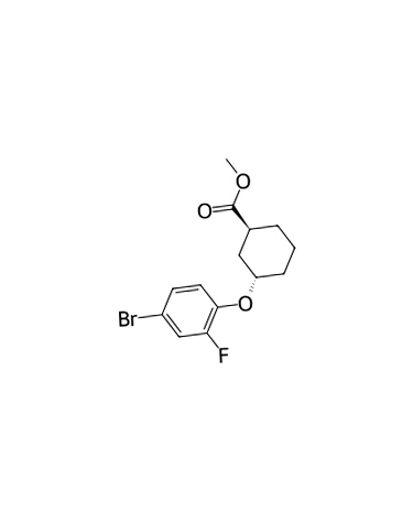 COC(=O)[C@H]1CCC[C@H](Oc2ccc(Br)cc2F)C1